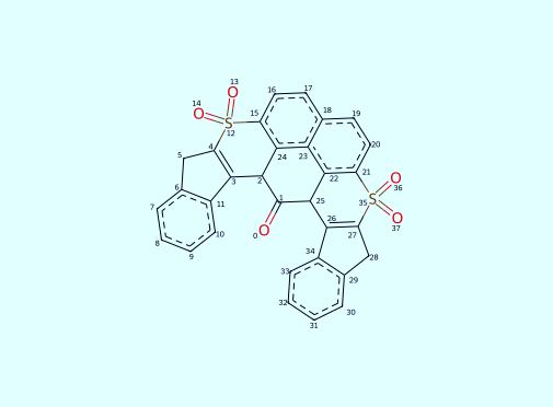 O=C1C2C3=C(Cc4ccccc43)S(=O)(=O)c3ccc4ccc5c(c4c32)C1C1=C(Cc2ccccc21)S5(=O)=O